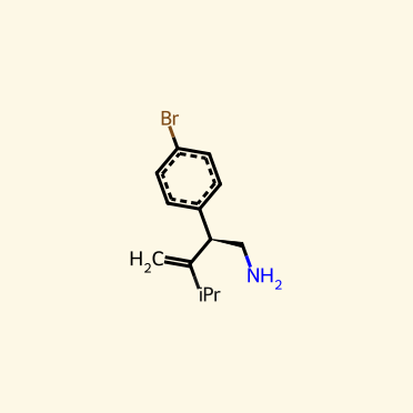 C=C(C(C)C)[C@H](CN)c1ccc(Br)cc1